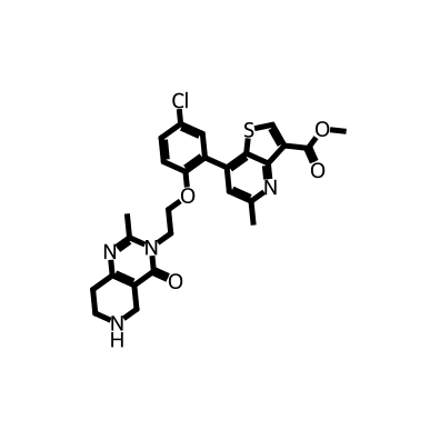 COC(=O)c1csc2c(-c3cc(Cl)ccc3OCCn3c(C)nc4c(c3=O)CNCC4)cc(C)nc12